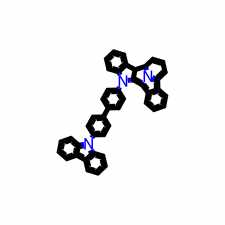 C1=CC2C3C(=c4c5ccccc5c(n42)=C1)N(c1ccc(-c2ccc(-n4c5ccccc5c5ccccc54)cc2)cc1)c1ccccc13